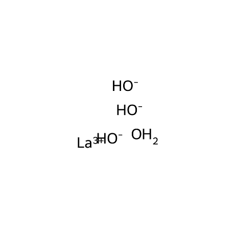 O.[La+3].[OH-].[OH-].[OH-]